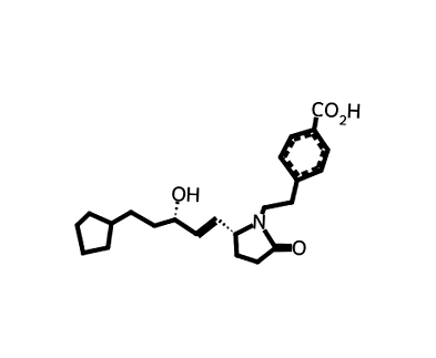 O=C(O)c1ccc(CCN2C(=O)CC[C@@H]2/C=C/[C@@H](O)CCC2CCCC2)cc1